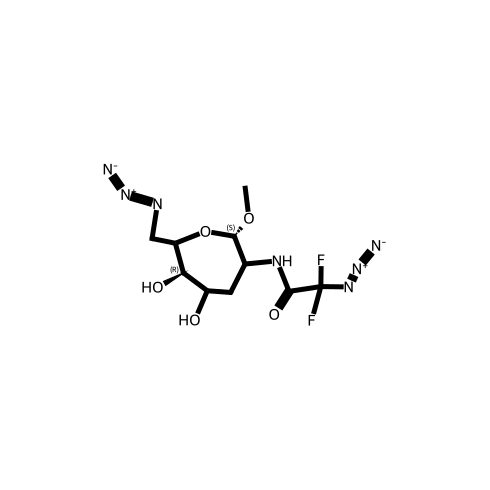 CO[C@H]1OC(CN=[N+]=[N-])[C@H](O)C(O)CC1NC(=O)C(F)(F)N=[N+]=[N-]